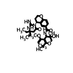 C#CC1=C(/C(=C\C)OC)C(NC(=O)c2ccc3c(c2)[C@H](N2C(=N)NC(CC)(CC)CC2=O)CCO3)C(C)(O)CO1